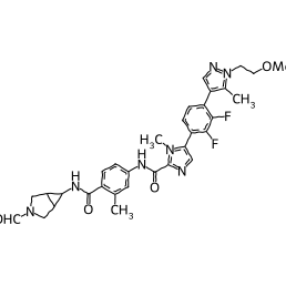 COCCn1ncc(-c2ccc(-c3cnc(C(=O)Nc4ccc(C(=O)NC5C6CN(C=O)CC65)c(C)c4)n3C)c(F)c2F)c1C